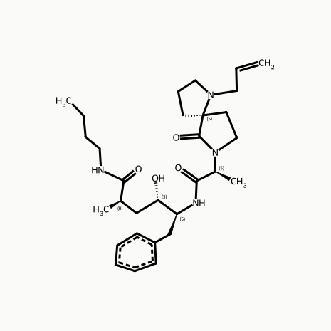 C=CCN1CCC[C@@]12CCN([C@@H](C)C(=O)N[C@@H](Cc1ccccc1)[C@@H](O)C[C@@H](C)C(=O)NCCCC)C2=O